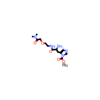 CN(C)C(=O)COCCNC(=O)C(N)Cc1cncn1C(=O)OC(C)(C)C